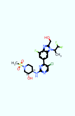 CC(C(F)F)n1c(CO)nc2c(F)cc(-c3nc(N[C@@H]4CCN(S(C)(=O)=O)C[C@H]4O)ncc3Cl)cc21